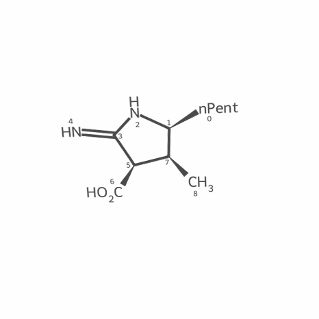 CCCCC[C@@H]1NC(=N)[C@H](C(=O)O)[C@@H]1C